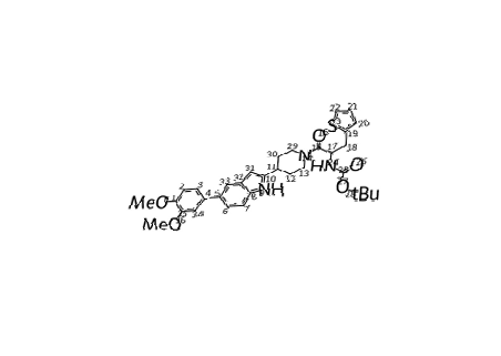 COc1ccc(-c2ccc3[nH]c(C4CCN(C(=O)C(Cc5cccs5)NC(=O)OC(C)(C)C)CC4)cc3c2)cc1OC